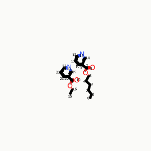 CCCCCCOC(=O)c1cccnc1.CCOC(=O)c1cccnc1